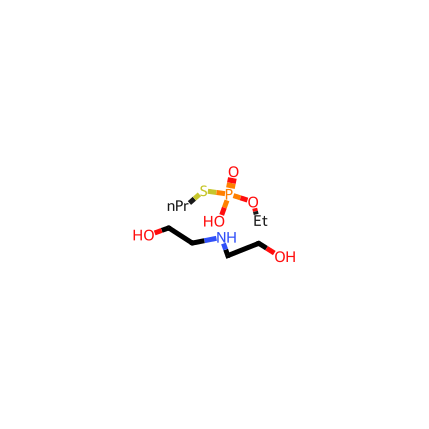 CCCSP(=O)(O)OCC.OCCNCCO